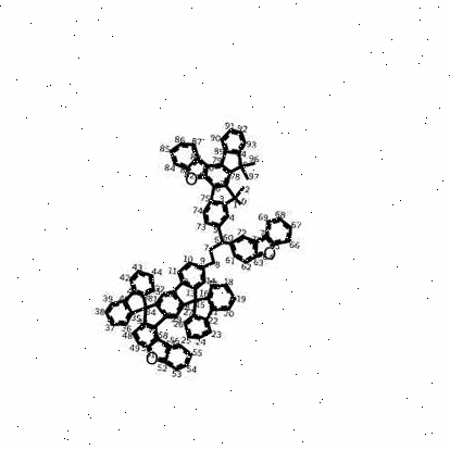 CC1(C)c2cc(C(CCc3ccc4c(c3)C3(c5ccccc5-c5ccccc53)c3cc5c(cc3-4)C3(c4ccccc4-c4ccccc43)c3ccc4oc6ccccc6c4c3-5)c3ccc4oc5ccccc5c4c3)ccc2-c2c1c1c(c3c2oc2ccccc23)-c2ccccc2C1(C)C